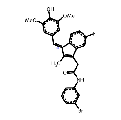 COc1cc(/C=C2/C(C)=C(CC(=O)Nc3cccc(Br)c3)c3cc(F)ccc32)cc(OC)c1O